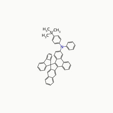 C[Si](C)(C)c1ccc(N(c2ccccc2)c2ccc3c4c(c5ccccc5c3c2)-c2cc3ccccc3cc2C42c3ccccc3-c3ccccc32)cc1